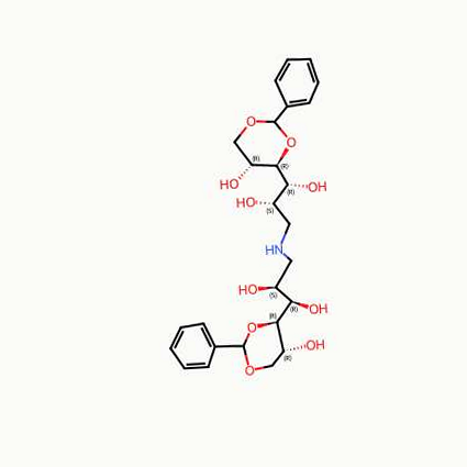 O[C@@H]([C@@H]1OC(c2ccccc2)OC[C@H]1O)[C@@H](O)CNC[C@H](O)[C@@H](O)[C@@H]1OC(c2ccccc2)OC[C@H]1O